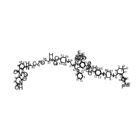 CC1(C)CCC(CN2CCN(c3ccc(C(=O)NS(=O)(=O)c4ccc(N[C@H](CCN5CCC(OC(=O)NCCOCCOCCNc6cccc7c6C(=O)N(C6CCC(=O)NC6=O)C7=O)CC5)CSc5ccccc5)c(S(=O)(=O)C(F)(F)F)c4)cc3)CC2)=C(C23CC(C(F)F)(C2)C3)C1